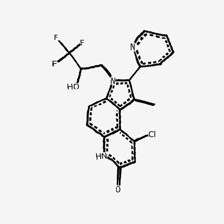 Cc1c(-c2ccccn2)n(CC(O)C(F)(F)F)c2ccc3[nH]c(=O)cc(Cl)c3c12